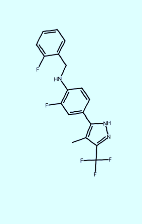 Cc1c(C(F)(F)F)n[nH]c1-c1ccc(NCc2ccccc2F)c(F)c1